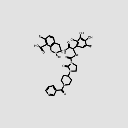 O=C(O)c1c(F)ccc2c1OB(O)[C@@H](NC(=O)C(NC(=O)N1CCN(C3CCN(C(=O)c4cccnc4)CC3)C1=O)c1cc(F)c(O)c(O)c1Cl)C2